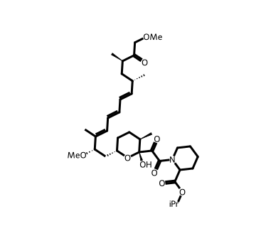 COCC(=O)[C@H](C)C[C@H](C)C=CC=CC=C(C)[C@H](C[C@@H]1CC[C@@H](C)[C@](O)(C(=O)C(=O)N2CCCCC2C(=O)OC(C)C)O1)OC